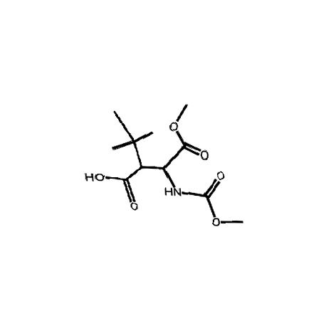 COC(=O)NC(C(=O)OC)C(C(=O)O)C(C)(C)C